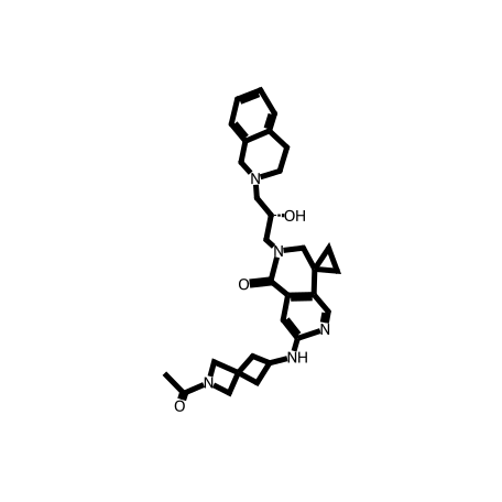 CC(=O)N1CC2(CC(Nc3cc4c(cn3)C3(CC3)CN(C[C@@H](O)CN3CCc5ccccc5C3)C4=O)C2)C1